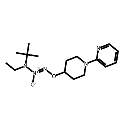 CCN(/[N+]([O-])=N/OC1CCN(c2ccccn2)CC1)C(C)(C)C